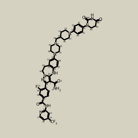 NC(=O)c1c(-c2ccc(C(=O)Nc3cc(C(F)(F)F)ccn3)cc2F)nn2c1Nc1ccc(N3CCN(CC4CCN(c5ccc(N6CCC(=O)NC6=O)cc5)CC4)CC3)cc1CC2